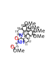 COC(=O)CCNC(=O)C(c1ccccc1)N1CCCc2cc(OC)c(OC)cc2C1Cc1ccc(OC)c(OC)c1